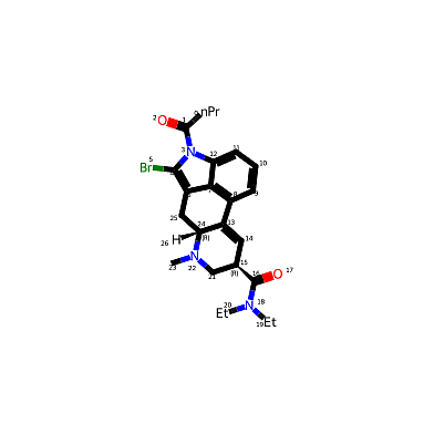 CCCC(=O)n1c(Br)c2c3c(cccc31)C1=C[C@@H](C(=O)N(CC)CC)CN(C)[C@@H]1C2